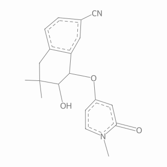 Cn1ccc(OC2c3cc(C#N)ccc3CC(C)(C)C2O)cc1=O